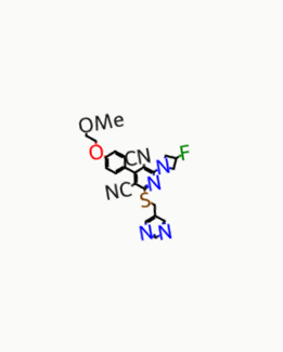 COCCOc1ccc(-c2c(C#N)c(SCc3cncnc3)nc(N3CC(F)C3)c2C#N)cc1